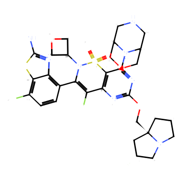 Nc1nc2c(C3=C(F)c4nc(OC[C@@]56CCCN5C[C@H](F)C6)nc(N5C6CNCC5COC6)c4S(=O)(=O)N3C3COC3)ccc(F)c2s1